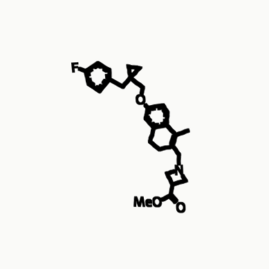 COC(=O)C1CN(CC2=C(C)c3ccc(OCC4(Cc5ccc(F)cc5)CC4)cc3CC2)C1